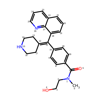 CN(CCO)C(=O)c1ccc(C(=C2CCNCC2)c2cccc3cccnc23)cc1